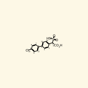 O=C(O)C(c1ccc(-c2ccc(Cl)cc2)cc1)S(=O)(=O)S